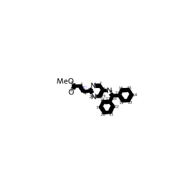 COC(=O)/C=C/c1ncc(N=C(c2ccccc2)c2ccccc2)cn1